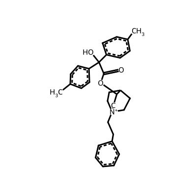 Cc1ccc(C(O)(C(=O)OC2C[N+]3(CCc4ccccc4)CCC2CC3)c2ccc(C)cc2)cc1